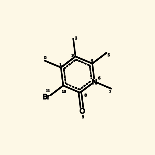 Cc1c(C)c(C)n(C)c(=O)c1Br